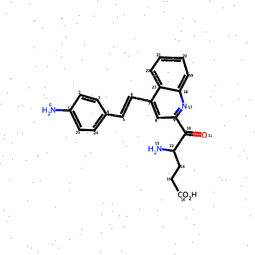 Nc1ccc(C=Cc2cc(C(=O)C(N)CCC(=O)O)nc3ccccc23)cc1